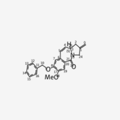 C=C1C[C@H]2C=Cc3cc(OCc4ccccc4)c(OC)cc3C(=O)N2C1